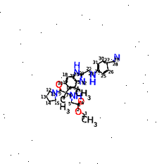 CCOC(=O)CNC(C)(C(=O)N1CCCC1)c1ccc2[nH]c(CNc3ccc(C#N)cc3)nc2c1C